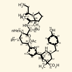 C=C(CN)N1CCC[C@]1(C)C(=C)N[C@H](C(=O)N(CCCCCC)[C@H](C[C@@H](OC(C)=O)c1nc(C(=O)N[C@@H](Cc2ccc(O)cc2)CC(C)(C)C(=O)O)cs1)C(C)C)[C@@H](C)CC